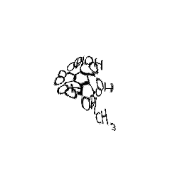 CCCOC(=O)c1c(C(=O)O)c(C(=O)O)c(C(=O)O)c(C(=O)O)c1C(=O)O